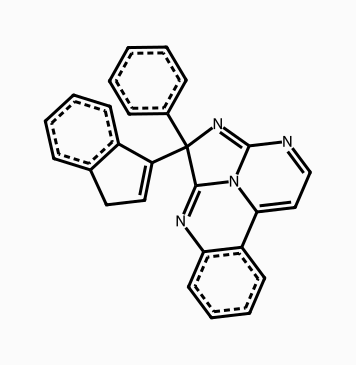 C1=NC2=NC(C3=CCc4ccccc43)(c3ccccc3)C3=Nc4ccccc4C(=C1)N23